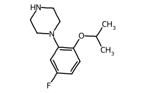 CC(C)Oc1ccc(F)cc1N1CCNCC1